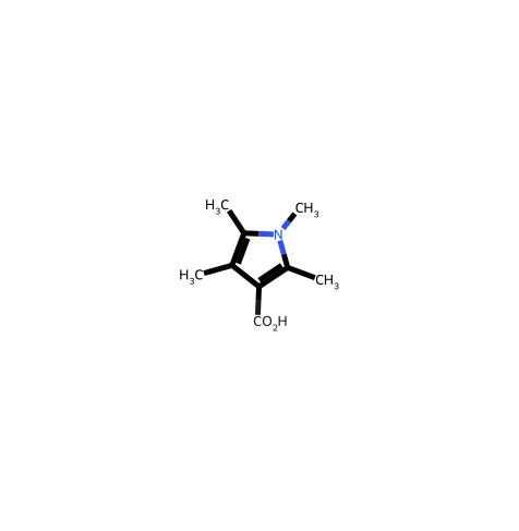 Cc1c(C(=O)O)c(C)n(C)c1C